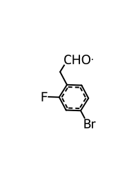 O=[C]Cc1ccc(Br)cc1F